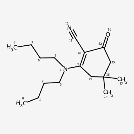 CCCCN(CCCC)C1=C(C#N)C(=O)CC(C)(C)C1